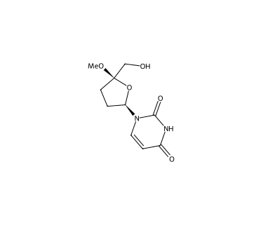 CO[C@]1(CO)CC[C@H](n2ccc(=O)[nH]c2=O)O1